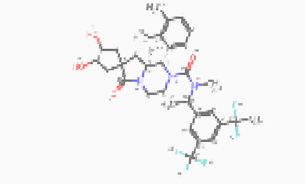 Cc1cccc([C@H]2[C@@H]3CC(CCO)(CCO)C(=O)N3CCN2C(=O)N(C)[C@H](C)c2cc(C(C)(F)F)cc(C(F)(F)F)c2)c1C